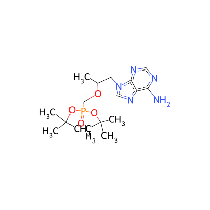 CC(Cn1cnc2c(N)ncnc21)OCP(=O)(OC(C)(C)C)OC(C)(C)C